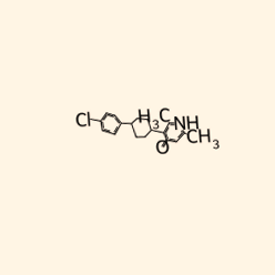 Cc1cc(=O)c(C2CCC(c3ccc(Cl)cc3)CC2)c(C)[nH]1